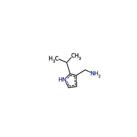 CC(C)c1[nH]ccc1CN